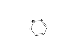 C1=CONN=C1